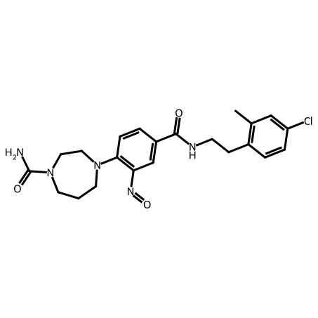 Cc1cc(Cl)ccc1CCNC(=O)c1ccc(N2CCCN(C(N)=O)CC2)c(N=O)c1